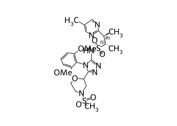 COc1cccc(OC)c1-n1c(NS(=O)(=O)[C@@H](C)[C@H](C)c2ncc(C)cn2)nnc1C1CN(S(C)(=O)=O)CCO1